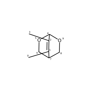 CC1=C(C)C2OCC1CO2